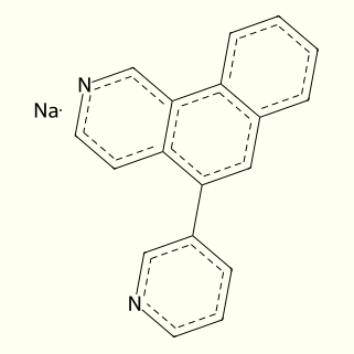 [Na].c1cncc(-c2cc3ccccc3c3cnccc23)c1